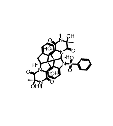 CN1C(=O)[C@]2(O)C[C@]3([C@]45C[C@@]6(O)C(=O)N(C)[C@](C)(O)C(=O)N6[C@H]4N(S(=O)(=O)c4ccccc4)c4ccccc45)c4ccccc4C[C@@H]3N2C(=O)[C@@]1(C)O